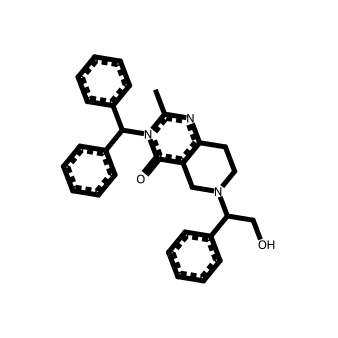 Cc1nc2c(c(=O)n1C(c1ccccc1)c1ccccc1)CN(C(CO)c1ccccc1)CC2